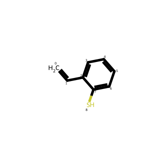 C=Cc1ccccc1S